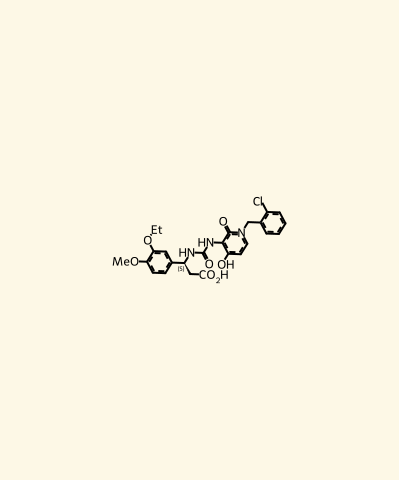 CCOc1cc([C@H](CC(=O)O)NC(=O)Nc2c(O)ccn(Cc3ccccc3Cl)c2=O)ccc1OC